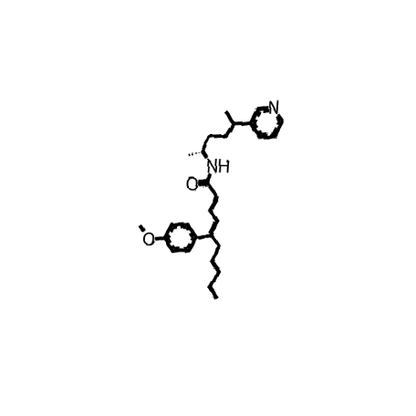 CCCCCC(=CC=CC(=O)N[C@H](C)CCC(C)c1cccnc1)c1ccc(OC)cc1